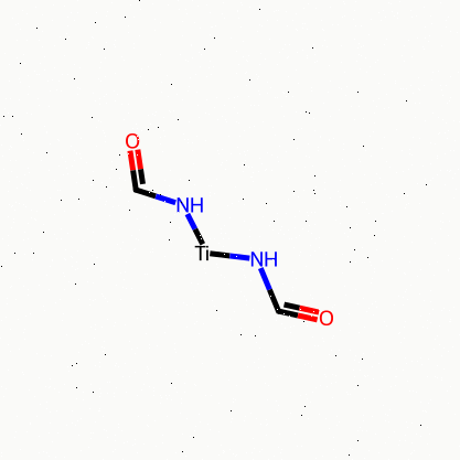 O=C[NH][Ti][NH]C=O